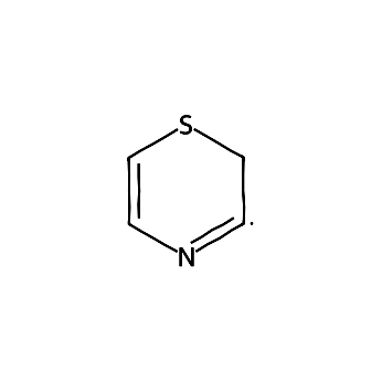 [C]1=NC=CSC1